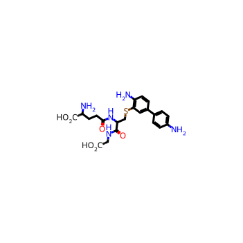 Nc1ccc(-c2ccc(N)c(SCC(NC(=O)CCC(N)C(=O)O)C(=O)NCC(=O)O)c2)cc1